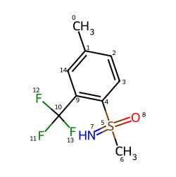 Cc1ccc(S(C)(=N)=O)c(C(F)(F)F)c1